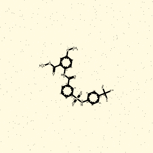 COC(=O)c1cc(OC)ccc1NC(=O)c1cccc(S(=O)(=O)Nc2ccc(C(F)(F)F)cc2)c1